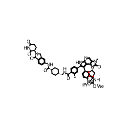 COC(=O)N[C@@H]1CC[C@@H](n2c(=O)n(C)c3cnc4[nH]c(-c5ccc(C(=O)NC[C@H]6CC[C@H](C(=O)Nc7ccc8c(c7)CN(C7CCC(=O)NC7=O)C8=O)CC6)c(F)c5)c(-c5ccc6c(cnn6C(C)C)c5)c4c32)C1